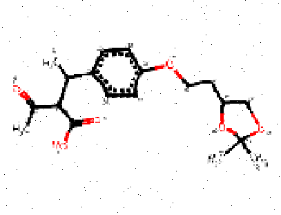 CC(=O)C(C(=O)O)C(C)c1ccc(OCCC2COC(C)(C)O2)cc1